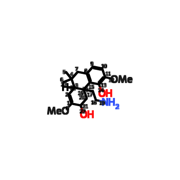 COC1=C[C@@H]2C(C)(C)Cc3ccc(OC)c(O)c3[C@]2(CCN)CC1O